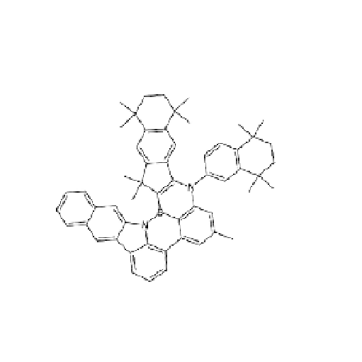 Cc1cc2c3c(c1)N(c1ccc4c(c1)C(C)(C)CCC4(C)C)C1=C(B3n3c4cc5ccccc5cc4c4cccc-2c43)C(C)(C)c2cc3c(cc21)C(C)(C)CCC3(C)C